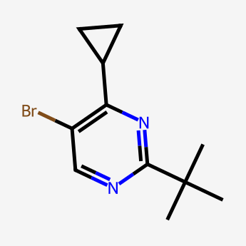 CC(C)(C)c1ncc(Br)c(C2CC2)n1